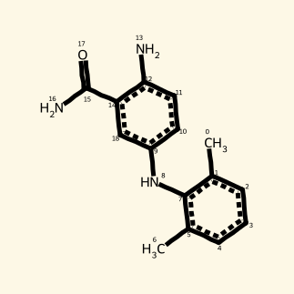 Cc1cccc(C)c1Nc1ccc(N)c(C(N)=O)c1